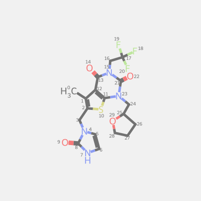 Cc1c(Cn2cc[nH]c2=O)sc2c1c(=O)n(CC(F)(F)F)c(=O)n2CC1CCCO1